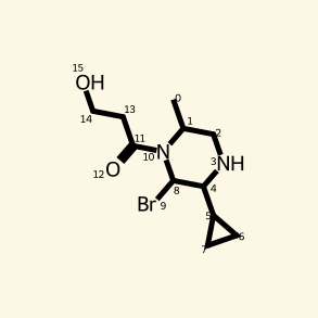 CC1[CH]NC(C2CC2)C(Br)N1C(=O)CCO